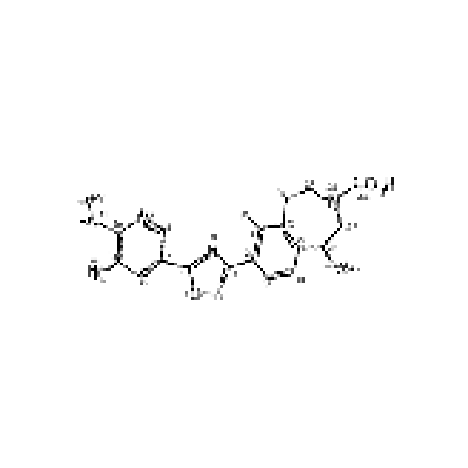 Cc1c(-c2noc(-c3cnc(NC(C)C)c(C#N)c3)n2)ccc2c1CCN(C(=O)O)CC2C(C)(C)C